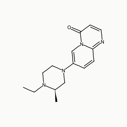 CCN1CCN(c2ccc3nccc(=O)n3c2)C[C@H]1C